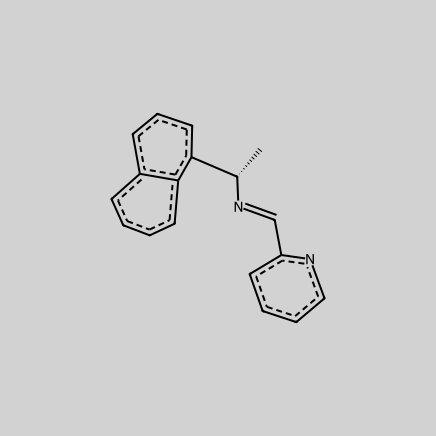 C[C@H](/N=C/c1ccccn1)c1cccc2ccccc12